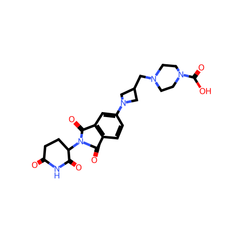 O=C1CCC(N2C(=O)c3ccc(N4CC(CN5CCN(C(=O)O)CC5)C4)cc3C2=O)C(=O)N1